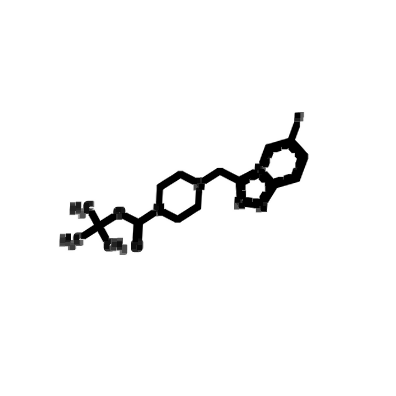 CC(C)(C)OC(=O)N1CCN(Cc2nnc3ccc(F)cn23)CC1